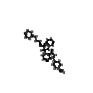 CC(Cc1ccccc1)(C(=O)OCCCN1CCOCC1)C1=CC=NC2=C(c3ccc(C(F)(F)F)cc3)CNN12